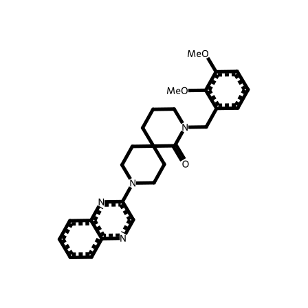 COc1cccc(CN2CCCC3(CCN(c4cnc5ccccc5n4)CC3)C2=O)c1OC